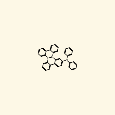 c1ccc(N(c2ccccc2)c2ccc3c(c2)N2B(c4ccccc4-c4ccccc42)c2ccccc2-3)cc1